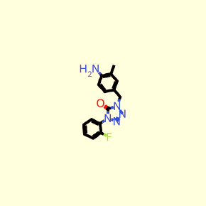 Cc1cc(Cn2nnn(-c3ccccc3F)c2=O)ccc1N